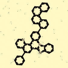 c1ccc(-c2cc3c(c4ccc(-c5cccc6c5ccc5ccc7ccccc7c56)cc4n4c5ccccc5nc34)c3ncccc23)cc1